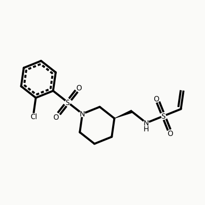 C=CS(=O)(=O)NC[C@H]1CCCN(S(=O)(=O)c2ccccc2Cl)C1